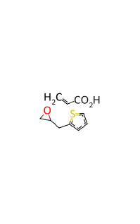 C=CC(=O)O.c1csc(CC2CO2)c1